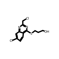 OCCCSc1nc(CCl)nc2cc(Cl)ccc12